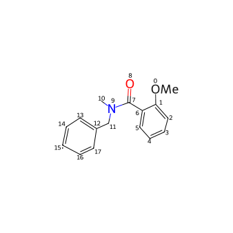 COc1ccccc1C(=O)N(C)Cc1cc[c]cc1